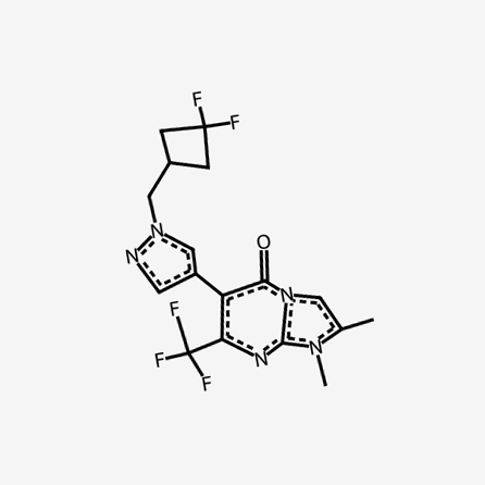 Cc1cn2c(=O)c(-c3cnn(CC4CC(F)(F)C4)c3)c(C(F)(F)F)nc2n1C